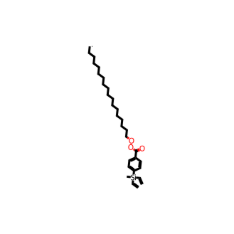 [CH2]CCCCCCCCCCCCCCCCCOOC(=O)c1ccc([Si](C)(C=C)C=C)cc1